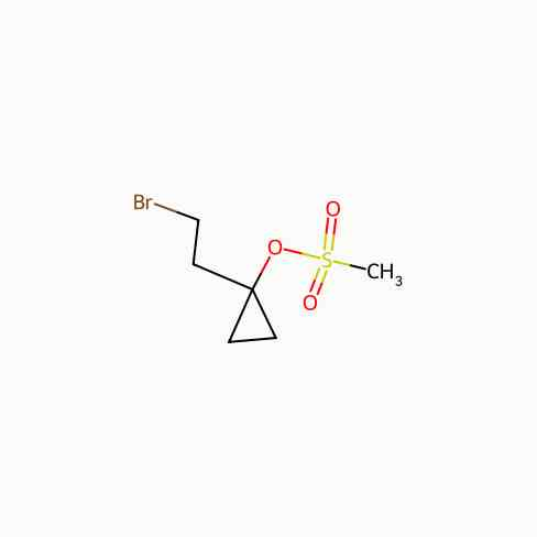 CS(=O)(=O)OC1(CCBr)CC1